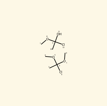 COC(C)(Cl)OC.COC(C)(O)Cl